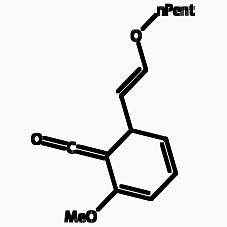 CCCCCOC=CC1C=CC=C(OC)C1=C=O